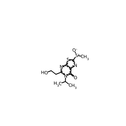 CC(C)n1c(CCO)nc2sc([S+](C)[O-])nc2c1=O